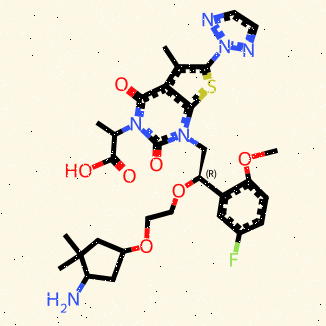 COc1ccc(F)cc1[C@H](Cn1c(=O)n(C(C)C(=O)O)c(=O)c2c(C)c(-n3nccn3)sc21)OCCOC1CC(N)C(C)(C)C1